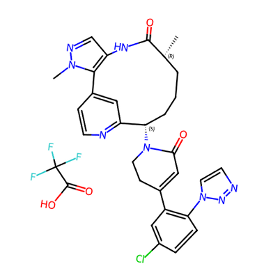 C[C@@H]1CCC[C@H](N2CCC(c3cc(Cl)ccc3-n3ccnn3)=CC2=O)c2cc(ccn2)-c2c(cnn2C)NC1=O.O=C(O)C(F)(F)F